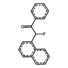 O=C(c1ccccc1)C(F)c1cccc2ccccc12